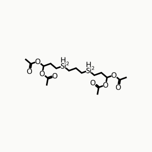 CC(=O)OC(CC[SiH2]CCC[SiH2]CCC(OC(C)=O)OC(C)=O)OC(C)=O